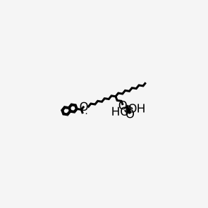 [CH2]C(OCCCCCCCCC(CCCCCCCCC)CCOCP(=O)(O)O)c1ccc2ccccc2c1